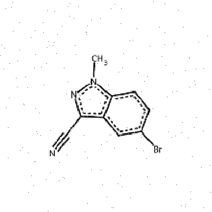 Cn1nc(C#N)c2cc(Br)ccc21